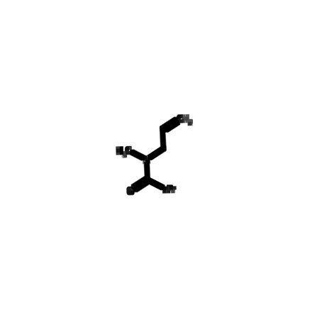 C=CCN(C)C(=O)CCC